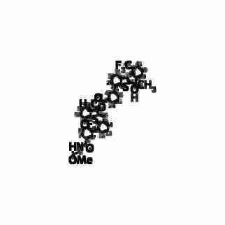 COCCNC(=O)c1cccc(-c2cccc3cc(C(C)(OC(=O)c4cccc(-c5cccc6cc(C(C)(O)c7cccc(C(F)(F)F)c7)sc56)c4)c4cccc(C(F)(F)F)c4)sc23)c1